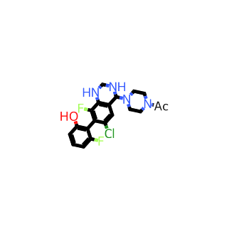 CC(=O)N1CCN(C2NCNc3c2cc(Cl)c(-c2c(O)cccc2F)c3F)CC1